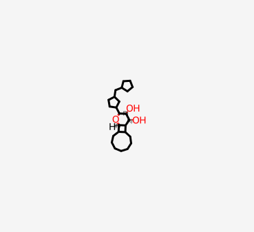 O[C@@H]1C2C3CCCCCCCC3[C@H]2OC(C2CCC(CC3CCCC3)C2)[C@@H]1O